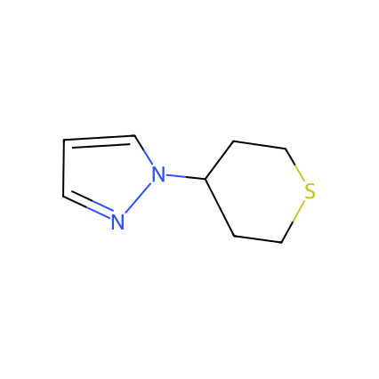 c1cnn(C2CCSCC2)c1